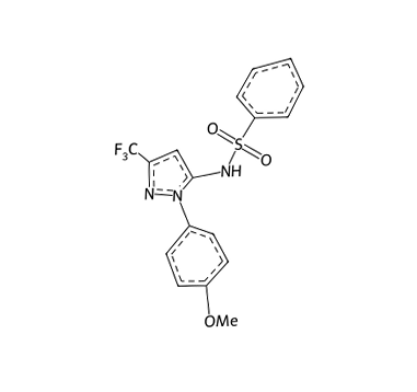 COc1ccc(-n2nc(C(F)(F)F)cc2NS(=O)(=O)c2ccccc2)cc1